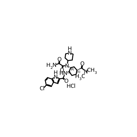 CN(C)C(=O)[C@H]1CC[C@H](NC(=O)c2cc3cc(Cl)ccc3[nH]2)[C@H](N(C(=O)C(N)=O)C2CCNCC2)C1.Cl